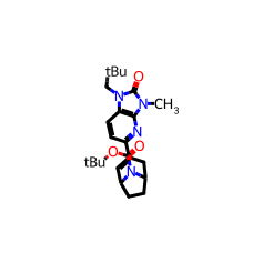 Cn1c(=O)n(CC(C)(C)C)c2ccc(C3=CC4CCC(C3)N4C(=O)OC(C)(C)C)nc21